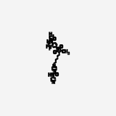 CC(=O)Nc1ccc(N2C(=O)C(C)=C(CCCCCCN3CCN(C(=O)Nc4ccncc4)CC3)C2=O)cc1C(F)(F)F